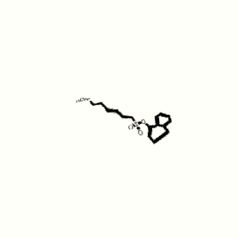 CCCCCCCCCCCCCCCCS(=O)(=O)Oc1cccc2ccccc12